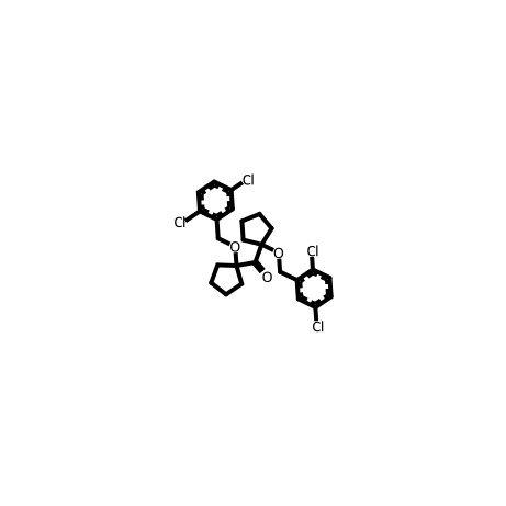 O=C(C1(OCc2cc(Cl)ccc2Cl)CCCC1)C1(OCc2cc(Cl)ccc2Cl)CCCC1